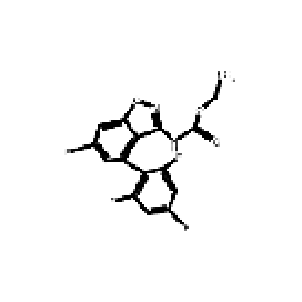 O=C(Nc1noc2cc(F)cc(-c3c(F)cc(F)cc3F)c12)OCC(Cl)(Cl)Cl